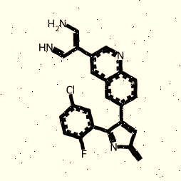 C=C1C=C(c2ccc3ncc(/C(C=N)=C/N)cc3c2)C(c2cc(Cl)ccc2F)=N1